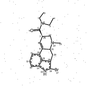 CCN(CC)C(=O)[C@@H]1C=C2c3cccc4[nH]c(Br)c(c34)CC2N(C)C1